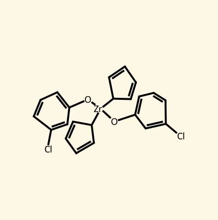 Clc1cccc([O][Zr]([O]c2cccc(Cl)c2)([CH]2C=CC=C2)[CH]2C=CC=C2)c1